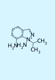 CC(C)[N+]1(N)N=Cc2cccc(N)c21